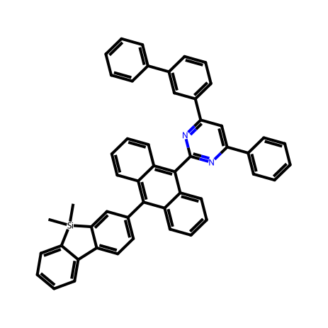 C[Si]1(C)c2ccccc2-c2ccc(-c3c4ccccc4c(-c4nc(-c5ccccc5)cc(-c5cccc(-c6ccccc6)c5)n4)c4ccccc34)cc21